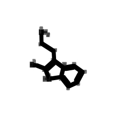 NCCc1c(Br)[nH]c2ccccc12